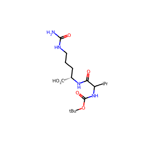 CC(C)C(NC(=O)OC(C)(C)C)C(=O)N[C@@H](CCCNC(N)=O)C(=O)O